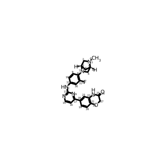 CN1C[C@@H]2C[C@H]1CN2c1ccc(Nc2nccc(-c3ccc4c(c3)NC(=O)CO4)n2)cc1F